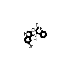 FCCC(Nc1c(Cl)cnc2ccc(Br)cc12)c1ccccc1F